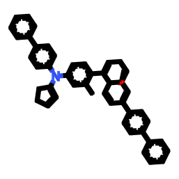 CC/C=C(\C=C/C1CCCC=C1c1ccc(N(C2=C=CCC2)c2ccc(-c3ccccc3)cc2)cc1C)c1ccc(-c2ccccc2)cc1